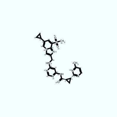 Cc1ccnc([C@@H]2C[C@H]2C(=O)Nc2cc(NCc3cn4cc(C5CC5)cc(S(C)(=O)=O)c4n3)ncn2)n1